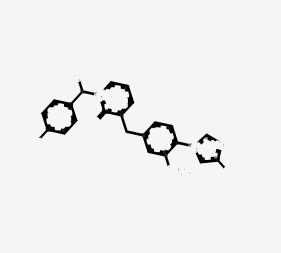 COc1cc(Cc2cccn(C(C)c3ccc(F)cc3)c2=O)ccc1-n1cnc(C)c1